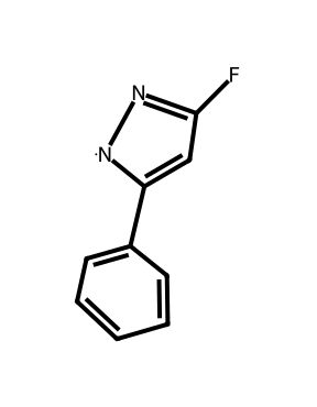 FC1=N[N]C(c2ccccc2)=C1